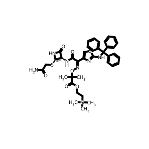 CC(C)(ON=C(C(=O)N[C@@H]1C(=O)N[C@@H]1SCC(N)=O)c1csc(NC(c2ccccc2)(c2ccccc2)c2ccccc2)n1)C(=O)OCC[Si](C)(C)C